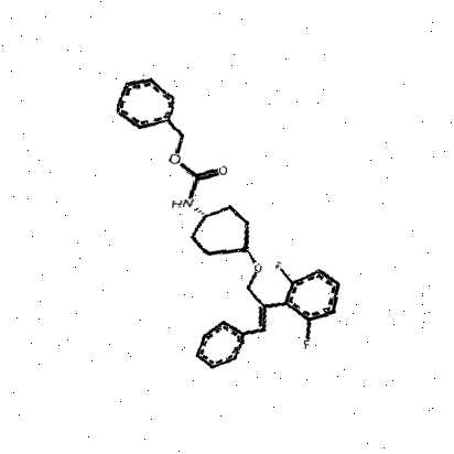 O=C(N[C@H]1CC[C@H](OCC(=Cc2ccccc2)c2c(F)cccc2F)CC1)OCc1ccccc1